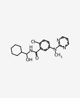 CN(c1ccc(Cl)c(C(=O)NC(O)C2CCCCC2)c1)c1ncccn1